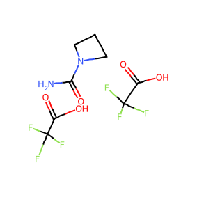 NC(=O)N1CCC1.O=C(O)C(F)(F)F.O=C(O)C(F)(F)F